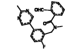 Cc1ncc(-c2ccc(F)c(CN(C)C(=O)c3ccccc3C=O)c2)cn1